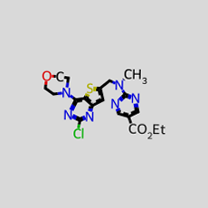 CCOC(=O)c1cnc(N(C)Cc2cc3nc(Cl)nc(N4CCOCC4)c3s2)nc1